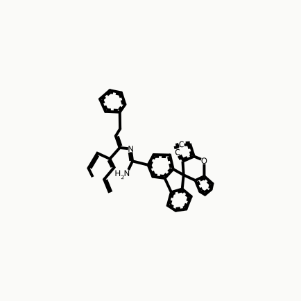 C=CC=C(/C=C\C)C(=C/Cc1ccccc1)/N=C(\N)c1ccc2c(c1)-c1ccccc1C21c2ccccc2Oc2ccccc21